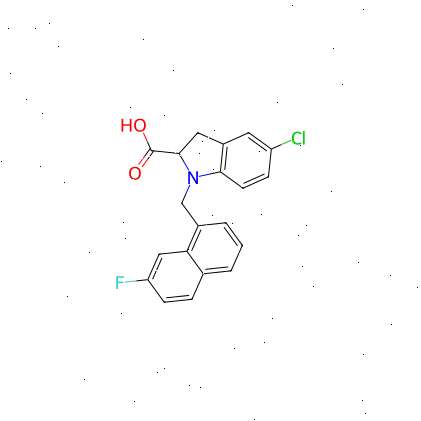 O=C(O)C1Cc2cc(Cl)ccc2N1Cc1cccc2ccc(F)cc12